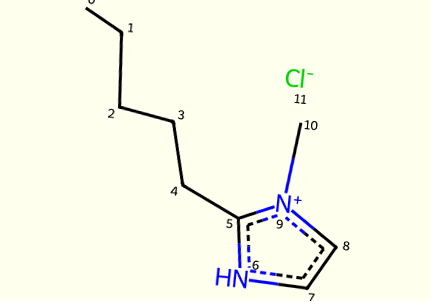 CCCCCc1[nH]cc[n+]1C.[Cl-]